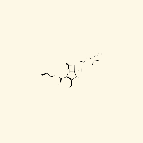 C=CCOC(=O)C1=C(CO)[C@H](C)[C@@H]2[C@@H](CCO[Si](C)(C)C(C)(C)C)C(=O)N12